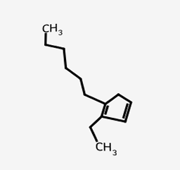 CCCCCCC1=C(CC)C=CC1